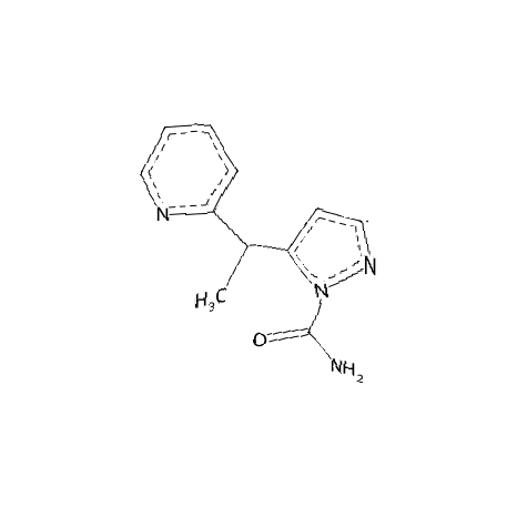 CC(c1ccccn1)c1c[c]nn1C(N)=O